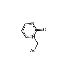 CC(=O)Cn1cccnc1=O